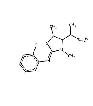 CC1SC(=Nc2ccccc2F)N(C)C1C(C)C(=O)O